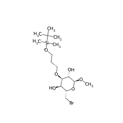 CO[C@H]1O[C@H](CBr)[C@@H](O)[C@@H](OCCCO[Si](C)(C)C(C)(C)C)[C@@H]1O